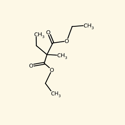 CCOC(=O)C(C)(CC)C(=O)OCC